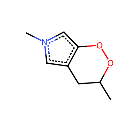 CC1Cc2cn(C)cc2OO1